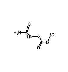 CCOC(=O)SNC(N)=O